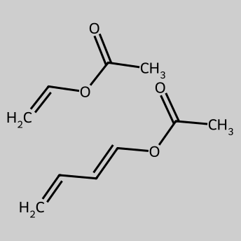 C=CC=COC(C)=O.C=COC(C)=O